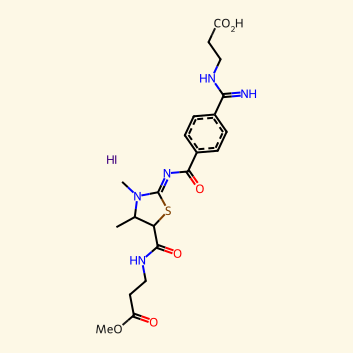 COC(=O)CCNC(=O)C1SC(=NC(=O)c2ccc(C(=N)NCCC(=O)O)cc2)N(C)C1C.I